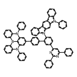 c1ccc(-c2cc(-c3ccc(-n4c5ccccc5c5cc6c7ccccc7n(-c7ccccc7)c6cc54)c(-c4ccc(-c5cc6c7c(c5)N(c5ccccc5)c5ccccc5B7c5ccccc5N6c5ccccc5)cc4)c3)nc(-c3ccccc3)n2)cc1